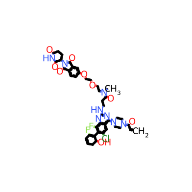 C=CC(=O)N1CCN(c2nc(NCCC(=O)N(C)CCOCCOc3ccc4c(c3)C(=O)N(C3CCC(=O)NC3=O)C4=O)nc3c(F)c(C4=C(F)C=CCC4O)c(Cl)cc23)CC1